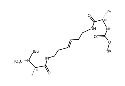 CC(C)[C@H](NC(=O)OC(C)(C)C)C(=O)NCCC=CCCNC(=O)[C@H](C)N(C(=O)O)C(C)(C)C